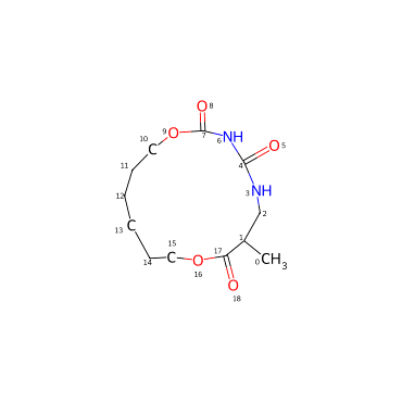 CC1CNC(=O)NC(=O)OCCCCCCOC1=O